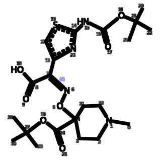 CN1CCC(O/N=C(\C(=O)O)c2csc(NC(=O)OC(C)(C)C)n2)(C(=O)OC(C)(C)C)CC1